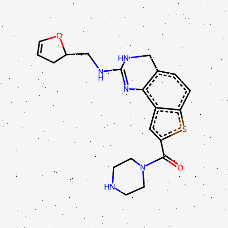 O=C(c1cc2c3c(ccc2s1)CNC(NCC1CC=CO1)=N3)N1CCNCC1